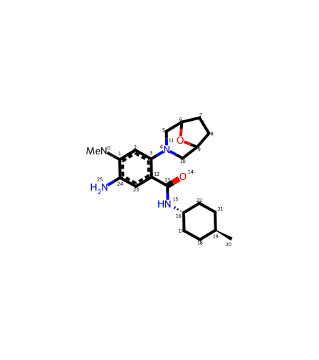 CNc1cc(N2CC3CCC(C2)O3)c(C(=O)N[C@H]2CC[C@H](C)CC2)cc1N